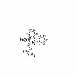 O=C(O)C/C=C(\N=C(c1ccccc1)c1ccccc1)C(=O)O